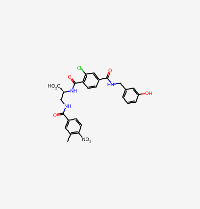 Cc1cc(C(=O)NC[C@H](NC(=O)c2ccc(C(=O)NCc3cccc(O)c3)cc2Cl)C(=O)O)ccc1[N+](=O)[O-]